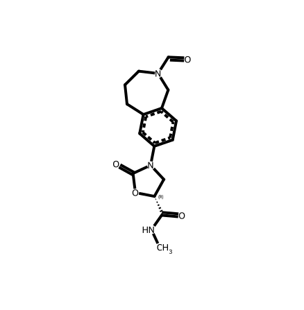 CNC(=O)[C@H]1CN(c2ccc3c(c2)CCCN(C=O)C3)C(=O)O1